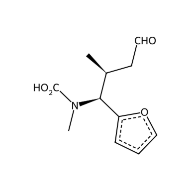 C[C@@H](CC=O)[C@@H](c1ccco1)N(C)C(=O)O